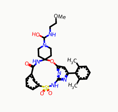 COCCNC(O)N1CCC2(CC1)NC(=O)c1cccc(c1)S(=O)(=O)Nc1nc(cc(-c3c(C)cccc3C)n1)O2